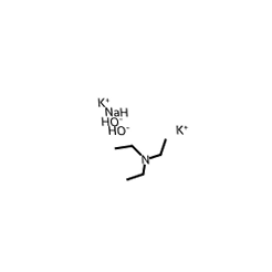 CCN(CC)CC.[K+].[K+].[NaH].[OH-].[OH-]